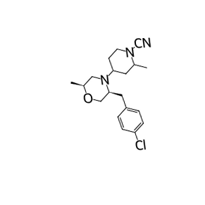 CC1CC(N2C[C@H](C)OC[C@@H]2Cc2ccc(Cl)cc2)CCN1C#N